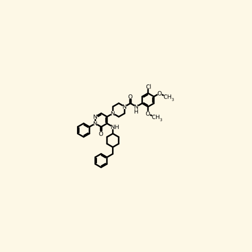 COc1cc(OC)c(NC(=O)N2CCN(c3cnn(-c4ccccc4)c(=O)c3NC3CCC(Cc4ccccc4)CC3)CC2)cc1Cl